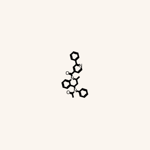 CC(=O)N(c1ccccc1)C1CC(C)N(C(=O)c2ccnc(-c3ccccc3)c2)c2ccccc21